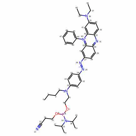 CCCCN(CCOP(OCCC#N)N(C(C)C)C(C)C)c1ccc(/N=N/c2ccc3nc4ccc(N(CC)CC)cc4[n+](-c4ccccc4)c3c2)cc1